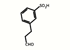 O=CCCc1cccc(S(=O)(=O)O)c1